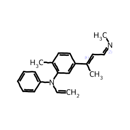 C=CN(c1ccccc1)c1cc(/C(C)=C/C=N\C)ccc1C